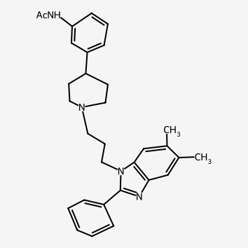 CC(=O)Nc1cccc(C2CCN(CCCn3c(-c4ccccc4)nc4cc(C)c(C)cc43)CC2)c1